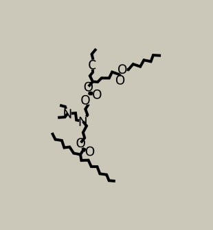 CCCCCCCCC(CCCCCC)C(=O)OCCCN(CCCOC(=O)OC(CCCCCC)CCCCC(=O)OCCCCCCC)CCN(CC)CC